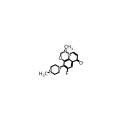 CN1CCN(c2c(F)cc3c(=O)ccn4c3c2OCN4C)CC1